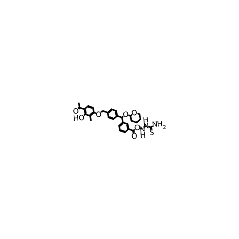 CC(=O)c1ccc(OCc2ccc(C(OC3CCCCO3)c3cccc(C(=O)ONNC(N)=S)c3)cc2)c(C)c1O